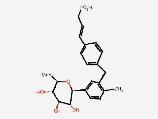 CS[C@H]1O[C@@H](c2ccc(C)c(Cc3ccc(/C=C/CC(=O)O)cc3)c2)[C@H](O)[C@@H](O)[C@@H]1O